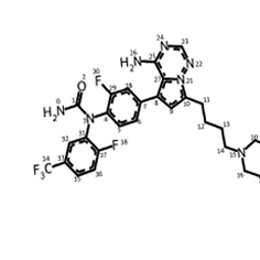 NC(=O)N(c1ccc(-c2cc(CCCCN3CCOCC3)n3ncnc(N)c23)cc1F)c1cc(C(F)(F)F)ccc1F